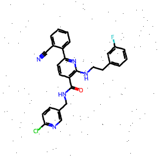 N#Cc1ccccc1-c1ccc(C(=O)NCc2ccc(Cl)nc2)c(NCCc2cccc(F)c2)n1